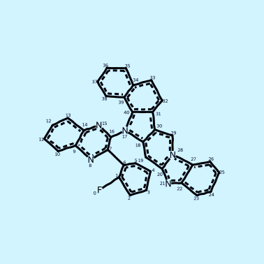 Fc1ccccc1-c1nc2ccccc2nc1-n1c2cc3nc4ccccc4n3cc2c2ccc3ccccc3c21